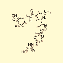 COc1cc(CNC(=O)c2cc(C3=NO[C@H]([C@@H]4CO[C@H](CNC(=O)CO)CO4)C3)nc(C)n2)ccc1F